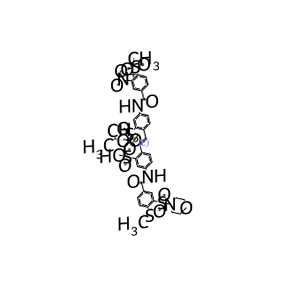 CSc1ccc(C(=O)Nc2ccc(/C=C/c3ccc(NC(=O)c4ccc(S(C)(=O)=O)c([N+](=O)[O-])c4)cc3S(=O)(=O)OC(C)C)c(S(=O)(=O)O)c2)cc1S(=O)(=O)N1CCOCC1